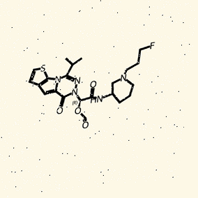 CC(C)c1nn([C@H](OC=O)C(=O)NC2CCCN(CCCF)C2)c(=O)c2cc3ccsc3n12